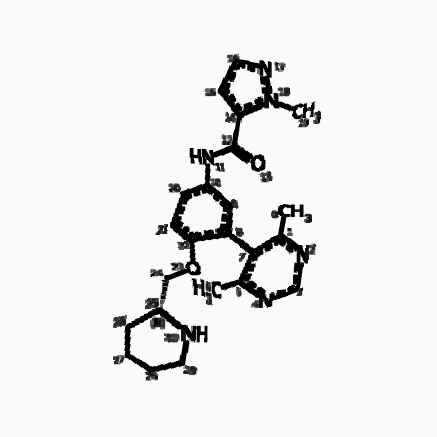 Cc1ncnc(C)c1-c1cc(NC(=O)c2ccnn2C)ccc1OC[C@H]1CCCCN1